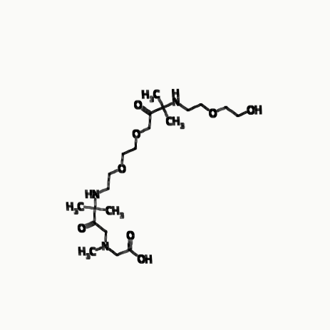 CN(CC(=O)O)CC(=O)C(C)(C)NCCOCCOCC(=O)C(C)(C)NCCOCCO